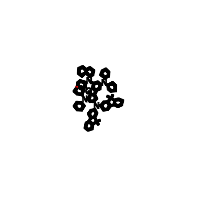 CC1(C)c2ccccc2-c2ccc(N(c3ccc4c(c3)C(C)(C)c3ccccc3-4)c3cc(N(c4ccccc4)c4ccccc4)c4oc5c(N(c6ccccc6)c6cccc7ccccc67)cc(N(c6ccccc6)c6ccccc6)cc5c4c3)cc21